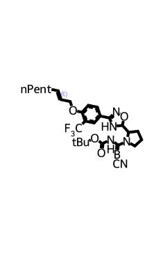 CCCCC/C=C/COc1ccc(C2=NOC(C3CCCN3C(=BC#N)NC(=O)OC(C)(C)C)N2)cc1C(F)(F)F